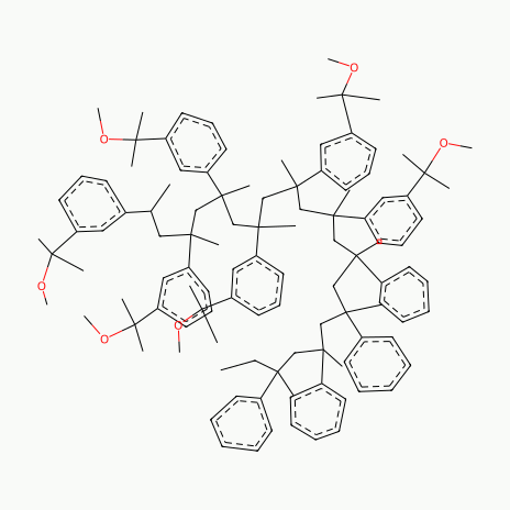 CCC(C)(CC(C)(CC(C)(CC(C)(CC(C)(CC(C)(CC(C)(CC(C)(CC(C)(CC(C)c1cccc(C(C)(C)OC)c1)c1cccc(C(C)(C)OC)c1)c1cccc(C(C)(C)OC)c1)c1cccc(C(C)(C)OC)c1)c1cccc(C(C)(C)OC)c1)c1cccc(C(C)(C)OC)c1)c1ccccc1)c1ccccc1)c1ccccc1)c1ccccc1